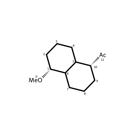 CO[C@@H]1CCCC2C1CCC[C@H]2C(C)=O